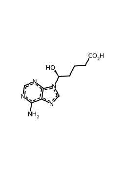 Nc1ncnc2c1ncn2[C@@H](O)CCCC(=O)O